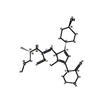 C=N/C(=N\n1c(C)c(N2CCOCC2=O)cc1[C@H]1CC[C@H](O)CC1)N[C@@H](C)COC